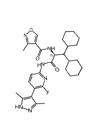 Cc1nocc1C(=O)N[C@H](C(=O)Nc1ccc(-c2c(C)n[nH]c2C)c(F)n1)C(C1CCCCC1)C1CCCCC1